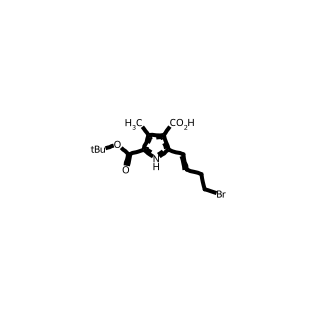 Cc1c(C(=O)OC(C)(C)C)[nH]c(C=CCCBr)c1C(=O)O